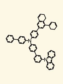 C1=CCCC(c2cc(-c3ccc(N(c4ccc(-c5ccccc5)cc4)c4ccc(-c5cccc(-n6c7ccccc7c7ccccc76)c5)cc4)cc3)cc3c2CCC=C3)=C1